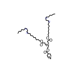 CCCCC/C=C\C/C=C\CCCCCCCCOC(=O)CCN(CCOC(=O)C1CCN(C)CC1)CCC(=O)OCCCCCCCC/C=C\C/C=C\CCCCC